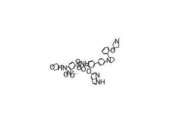 CN1CCC(Oc2ccccc2C2CCCN2c2ccc(-c3ccc(C(=O)NS(=O)(=O)c4ccc(NCC5CCOCC5)c([N+](=O)[O-])c4)c(Oc4cnc5[nH]ccc5c4)c3)cc2)CC1